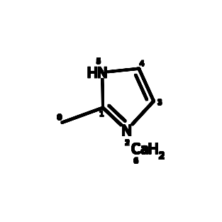 Cc1ncc[nH]1.[CaH2]